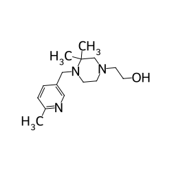 Cc1ccc(CN2CCN(CCO)CC2(C)C)cn1